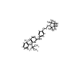 [2H]C1([2H])N(CCOc2ccc(Nc3ncc(C)c(N(c4ccccc4)C(C)(C)C)n3)cc2)C([2H])([2H])C([2H])([2H])C1([2H])[2H]